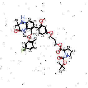 COc1cc(OCCCOC(=O)[C@@H]2CCCN2C(=O)OC(C)(C)C)ccc1-c1ccc2c(c1COc1cc(F)ccc1C)N(C)C(=O)C(C)(C)N2